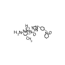 Cc1cc(N)nc(C)c1CNC(=O)c1ncn(Cc2ccc(Cn3ccccc3=O)cc2)n1